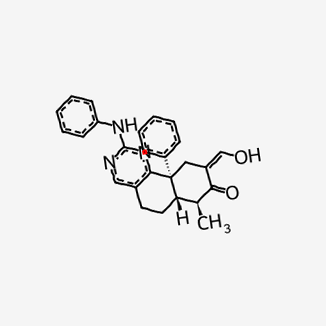 C[C@@H]1C(=O)/C(=C\O)C[C@]2(c3ccccc3)c3nc(Nc4ccccc4)ncc3CC[C@@H]12